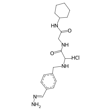 CC(NCc1ccc(C=NN)cc1)C(=O)NCC(=O)NC1CCCCC1.Cl